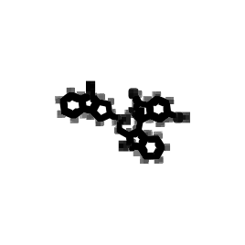 O=C1NC(c2c(CNC3Cc4[nH]c5ccccc5c4C3)[nH]c3ccccc23)c2cc(O)ccc21